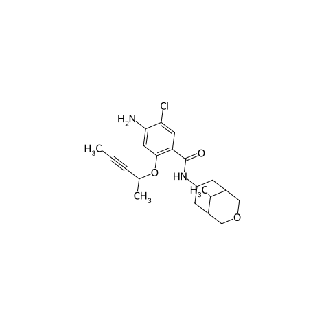 CC#CC(C)Oc1cc(N)c(Cl)cc1C(=O)NC1CC2COCC(C1)C2C